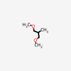 [CH2]OCC(C)COC